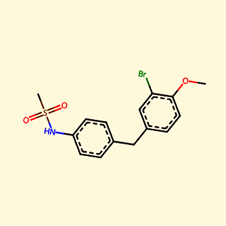 COc1ccc(Cc2ccc(NS(C)(=O)=O)cc2)cc1Br